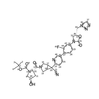 CC(C)(C)OC(=O)N1C[C@H](O)C[C@H]1C(=O)N1CC2C(C1)C2(C#N)c1ccc(-c2ccc(N3C[C@H](Cn4ccnn4)OC3=O)cc2F)cn1